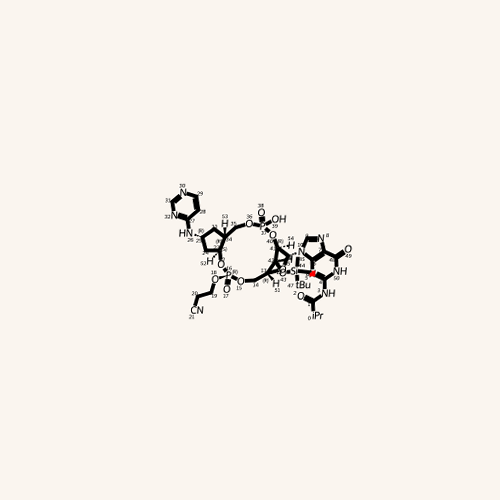 CC(C)C(=O)Nc1nc2c(ncn2[C@@H]2O[C@@H]3CO[P@@](=O)(OCCC#N)O[C@H]4C[C@H](Nc5ccncn5)C[C@@H]4COP(=O)(O)O[C@@H]2[C@@H]3O[Si](C)(C)C(C)(C)C)c(=O)[nH]1